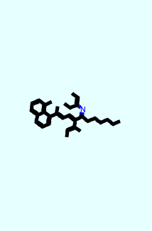 C\C=C(CC)\N=C(CCCCCC)/C(=C/C=C(\C)c1cccc2cccc(C)c12)C(/C)=C/C